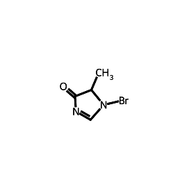 CC1C(=O)N=CN1Br